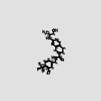 C[C@@H](CO)Nc1ncc2c(n1)CN(C(=O)NCc1ccc(C(F)(F)F)c(Cl)c1)CC2